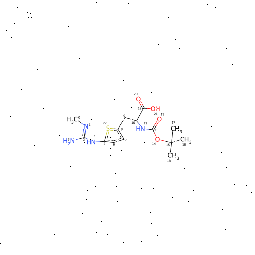 CN=C(N)Nc1ccc(CC(NC(=O)OC(C)(C)C)C(=O)O)s1